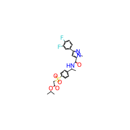 CC(C)OC(=O)CS(=O)(=O)c1ccc(C(C)NC(=O)c2cc(-c3ccc(F)c(F)c3)nn2C)cc1